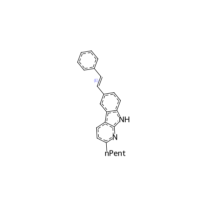 CCCCCc1ccc2c(n1)[nH]c1ccc(/C=C/c3ccccc3)cc12